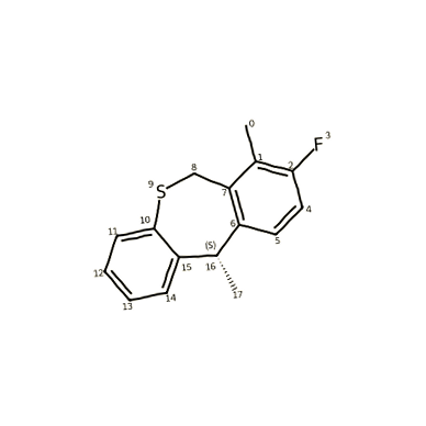 Cc1c(F)ccc2c1CSc1ccccc1[C@H]2C